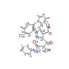 N#CC(C(=O)Nc1ccccc1)C(=O)c1nn(-c2cccc(Cl)c2)c2c1COc1ccccc1-2